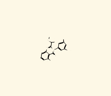 CC(NC(=O)O)c1nc2cccc(Cl)c2c(=O)n1-c1cc(F)cc(F)c1